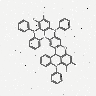 Fc1cc2c3c(c1F)N(c1ccccc1)c1ccccc1B3c1cc3c(cc1N2c1ccccc1)Oc1cc(F)c(F)c2c1C3c1ccccc1N2c1ccccc1